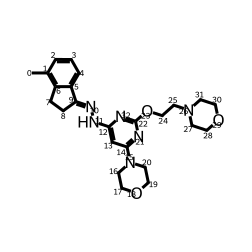 Cc1cccc2c1CCC2=NNc1cc(N2CCOCC2)nc(OCCN2CCOCC2)n1